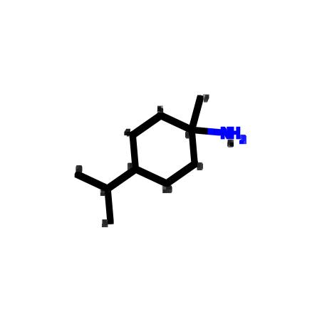 CC(C)C1CCC(C)(N)CC1